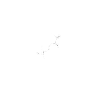 C=C(C)C(=O)OCC(C)(CC)CO